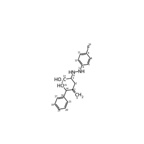 C=C(CC(NNc1ccc(F)cc1)C(=O)O)C(O)c1ccccc1